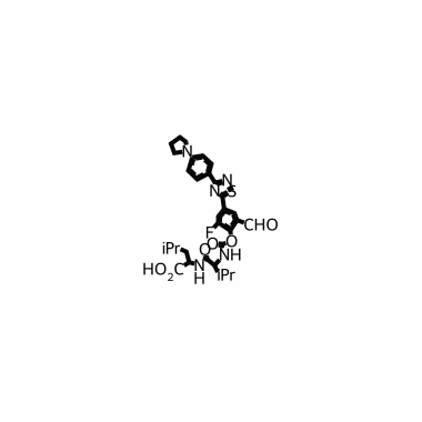 CC(C)CC(NC(=O)C(NC(=O)Oc1c(F)cc(-c2nc(-c3ccc(N4CCCC4)cc3)ns2)cc1C=O)C(C)C)C(=O)O